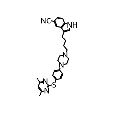 Cc1cc(C)nc(Sc2ccc(N3CCN(CCCCc4c[nH]c5ccc(C#N)cc45)CC3)cc2)n1